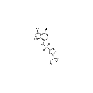 N#Cc1c[nH]c2c(NS(=O)(=O)c3cnn(C4(CO)CC4)c3)ccc(Cl)c12